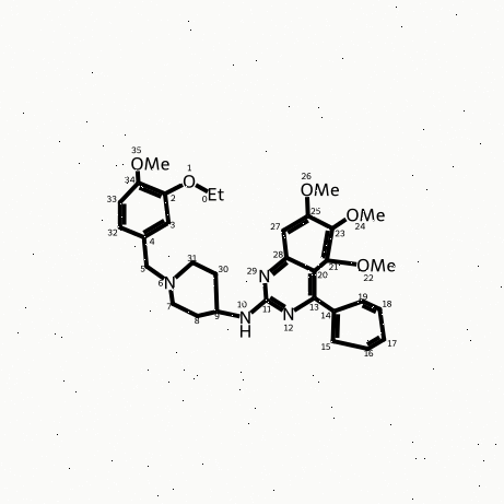 CCOc1cc(CN2CCC(Nc3nc(-c4ccccc4)c4c(OC)c(OC)c(OC)cc4n3)CC2)ccc1OC